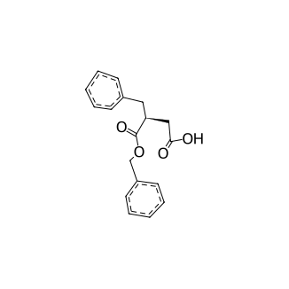 O=C(O)C[C@H](Cc1ccccc1)C(=O)OCc1ccccc1